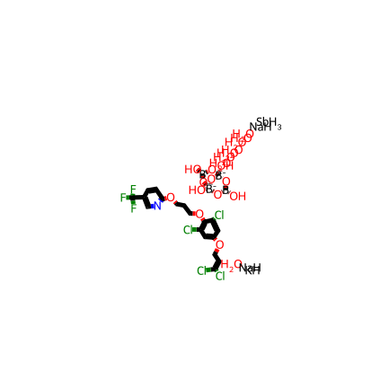 FC(F)(F)c1ccc(OCCCOc2c(Cl)cc(OCC=C(Cl)Cl)cc2Cl)nc1.O.O.O.O.O.O.O.O.OB1O[B-]2(O)OB(O)O[B-](O)(O1)O2.[KH].[NaH].[NaH].[SbH3]